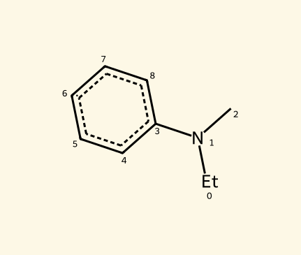 CCN(C)c1cc[c]cc1